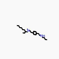 CCCCCCC(CC)CN(C)CCc1ccc(CCNCCCC)cc1